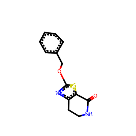 O=C1NCCc2nc(OCc3ccccc3)sc21